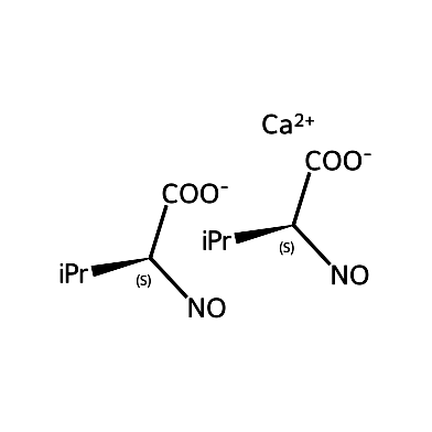 CC(C)[C@H](N=O)C(=O)[O-].CC(C)[C@H](N=O)C(=O)[O-].[Ca+2]